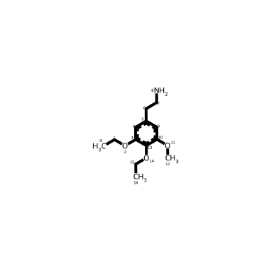 CCOc1cc(CCN)cc(OC)c1OCC